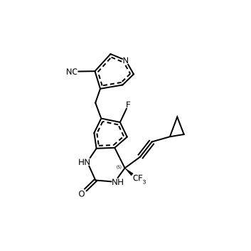 N#Cc1cnccc1Cc1cc2c(cc1F)[C@@](C#CC1CC1)(C(F)(F)F)NC(=O)N2